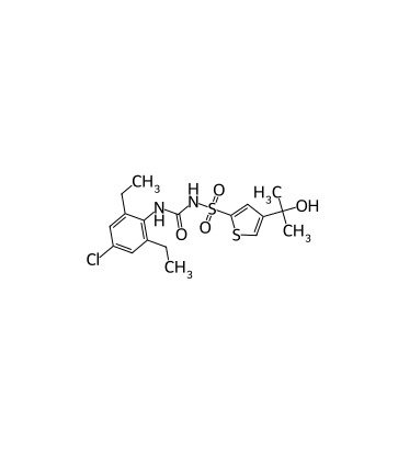 CCc1cc(Cl)cc(CC)c1NC(=O)NS(=O)(=O)c1cc(C(C)(C)O)cs1